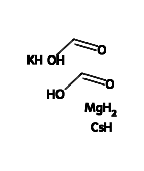 O=CO.O=CO.[CsH].[KH].[MgH2]